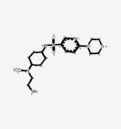 CN(CCC(C)(C)C)C1CCC(NS(=O)(=O)c2ccc(N3CCOCC3)nc2)CC1